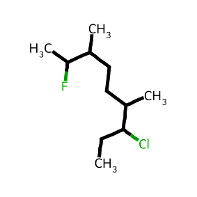 CCC(Cl)C(C)CCC(C)C(C)F